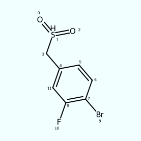 O=[SH](=O)Cc1ccc(Br)c(F)c1